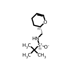 CC(C)(C)[S@@+]([O-])NC[C@@H]1CCC=CO1